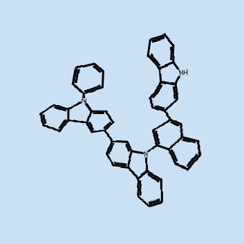 c1ccc(-n2c3ccccc3c3cc(-c4ccc5c6ccccc6n(-c6cc(-c7ccc8c(c7)[nH]c7ccccc78)cc7ccccc67)c5c4)ccc32)cc1